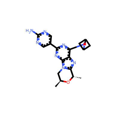 C[C@@H]1O[C@@H](C)Cn2c1nc1c(N3CC4CC3C4)nc(-c3cnc(N)nc3)nc12